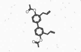 C=CCc1cc(-c2ccc(OC(C)=O)c(CC=C)c2)ccc1OC(C)=O